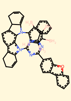 Bc1c(B)c(B)c(N2C3=CC=CCC3c3ccc4c5c(n(-c6nc(-c7ccccc7)nc(-c7ccc8c(c7)oc7ccccc78)n6)c4c32)C=CCC5)c(B)c1B